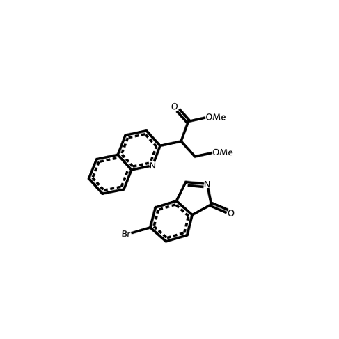 COCC(C(=O)OC)c1ccc2ccccc2n1.O=C1N=Cc2cc(Br)ccc21